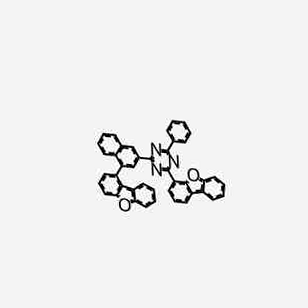 c1ccc(-c2nc(-c3cc(-c4cccc5oc6ccccc6c45)c4ccccc4c3)nc(-c3cccc4c3oc3ccccc34)n2)cc1